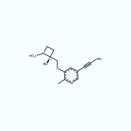 CCCCC#Cc1cnc(C)c(OC[C@@]2(C(C)(C)C)CCN2C(=O)O)c1